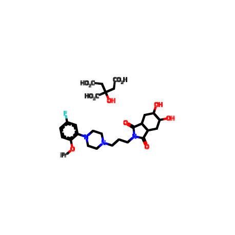 CC(C)Oc1ccc(F)cc1N1CCN(CCCN2C(=O)C3CC(O)C(O)CC3C2=O)CC1.O=C(O)CC(O)(CC(=O)O)C(=O)O